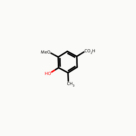 COc1cc(C(=O)O)cc(C)c1O